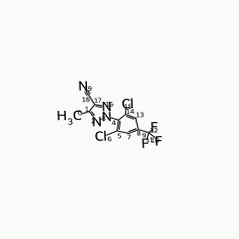 Cc1nn(-c2c(Cl)cc(C(F)(F)F)cc2Cl)nc1C#N